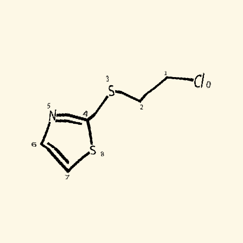 ClCCSc1nccs1